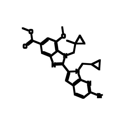 COC(=O)c1cc(OC)c2c(c1)nc(-c1cc3ccc(Br)nc3n1CC1CC1)n2CC1(C)CC1